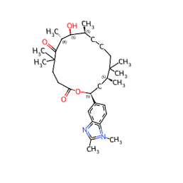 Cc1nc2cc([C@@H]3C[C@H](C)C(C)(C)CCC[C@H](C)[C@H](O)[C@@H](C)C(=O)C(C)(C)CCC(=O)O3)ccc2n1C